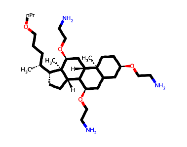 CCCOCCC[C@@H](C)[C@H]1CC[C@H]2C3[C@H](OCCN)CC4C[C@H](OCCN)CC[C@]4(C)[C@H]3C[C@H](OCCN)[C@]12C